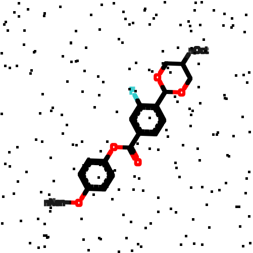 CCCCCCCCCOc1ccc(OC(=O)c2ccc(C3OCC(CCCCCCCC)CO3)c(F)c2)cc1